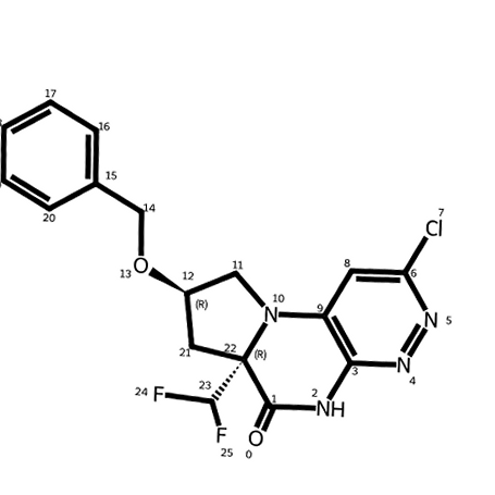 O=C1Nc2nnc(Cl)cc2N2C[C@H](OCc3ccccc3)C[C@]12C(F)F